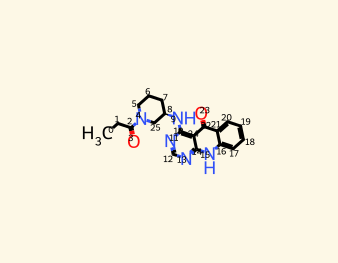 CCC(=O)N1CCC[C@@H](Nc2ncnc3[nH]c4ccccc4c(=O)c23)C1